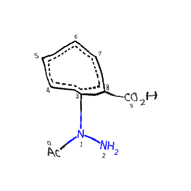 CC(=O)N(N)c1ccccc1C(=O)O